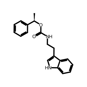 C[C@@H](OC(=O)NCCc1c[nH]c2ccccc12)c1ccccc1